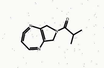 CC(C)C(=O)N1CC2=C(C1)N=CC=C=N2